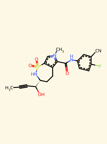 CC#CC(O)[C@H]1CCc2c(cn(C)c2C(=O)Nc2ccc(F)c(C#N)c2)S(=O)(=O)N1